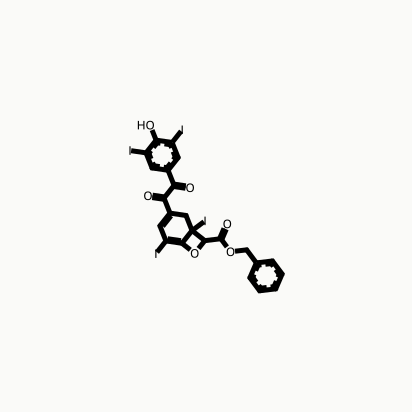 O=C(C(=O)c1cc(I)c(O)c(I)c1)C1=CC(I)=C2OC(C(=O)OCc3ccccc3)C2(I)C1